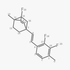 Cc1ccc(/C=C/C23C=C(F)C(C)(CC2)CC3)c(F)c1F